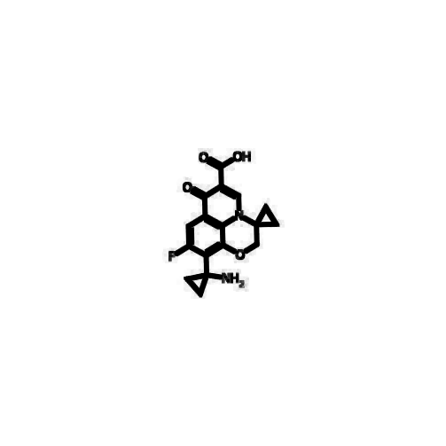 NC1(c2c(F)cc3c(=O)c(C(=O)O)cn4c3c2OCC42CC2)CC1